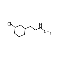 CNCCC1CCCC(Cl)C1